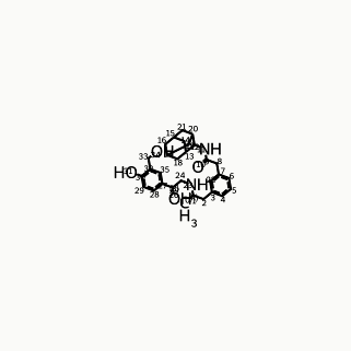 C[C@H](Cc1cccc(CC(=O)NC2C3CC4CC(C3)CC2C4)c1)NC[C@@H](O)c1ccc(O)c(CO)c1